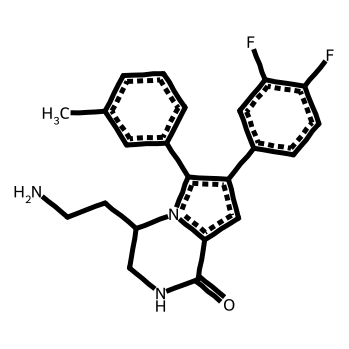 Cc1cccc(-c2c(-c3ccc(F)c(F)c3)cc3n2C(CCN)CNC3=O)c1